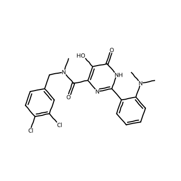 CN(Cc1ccc(Cl)c(Cl)c1)C(=O)c1nc(-c2ccccc2N(C)C)[nH]c(=O)c1O